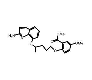 COC(=O)c1cc(OC)ccc1OCCCC(C)Oc1cccc2ccc(N)nc12